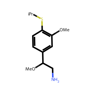 COc1cc(C(CN)OC)ccc1SC(C)C